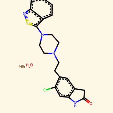 Br.O.O=C1Cc2cc(CCN3CCN(c4snc5ccccc45)CC3)c(Cl)cc2N1